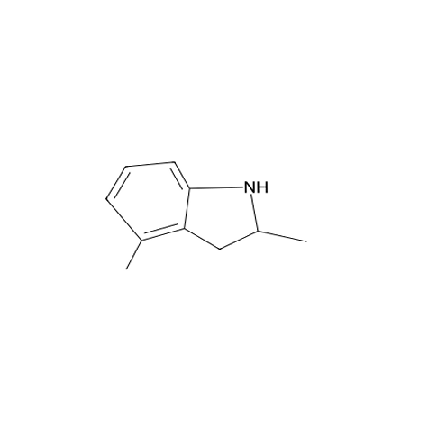 Cc1cccc2c1CC(C)N2